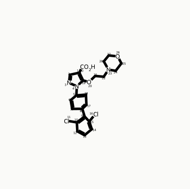 O=C(O)c1cnn(-c2ccc(-c3c(Cl)cccc3Cl)cc2)c1OCCN1CCOCC1